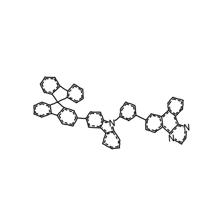 c1cc(-c2ccc3c(c2)c2ccccc2c2nccnc32)cc(-n2c3ccccc3c3cc(-c4ccc5c(c4)C4(c6ccccc6-c6ccccc64)c4ccccc4-5)ccc32)c1